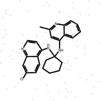 Cc1cc(NC2(Nc3ccnc4cc(Cl)ccc34)CCCCC2)c2ccccc2n1